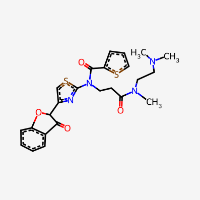 CN(C)CCN(C)C(=O)CCN(C(=O)c1cccs1)c1nc(C2Oc3ccccc3C2=O)cs1